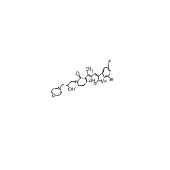 Cc1c(C=C2C(=O)Nc3c(Br)cc(F)cc32)[nH]c2c1C(=O)N(CC(O)CN1CCOCC1)CC2